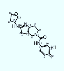 O=C(Nc1ccc(F)c(Cl)c1)N1CCc2nc(NC3CCOC3)sc2C1